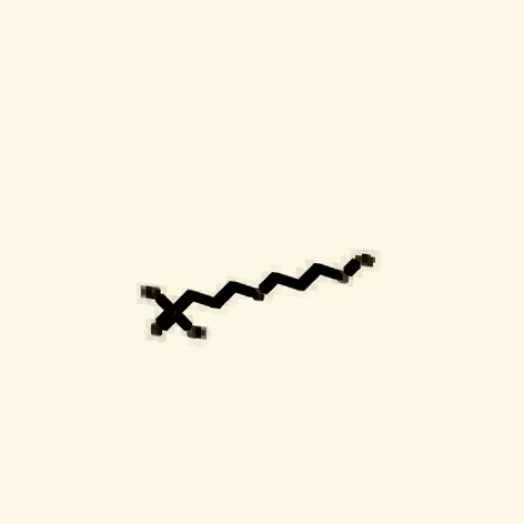 CCCOCCCOCCCP(=O)(O)O